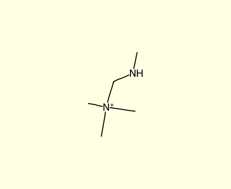 CNC[N+](C)(C)C